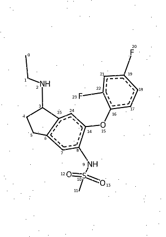 CCNC1CCc2cc(NS(C)(=O)=O)c(Oc3ccc(F)cc3F)cc21